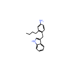 CCCCc1cc(N)ccc1Cc1c[nH]c2ccccc12